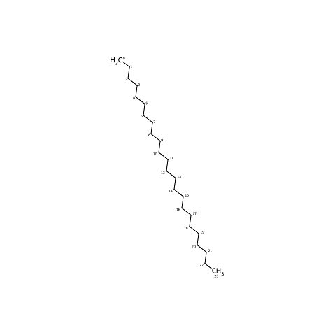 CC[CH]CCCCCCCCCCCCCCCCCCCCC